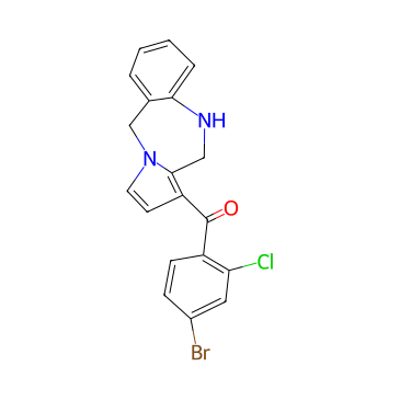 O=C(c1ccc(Br)cc1Cl)c1ccn2c1CNc1ccccc1C2